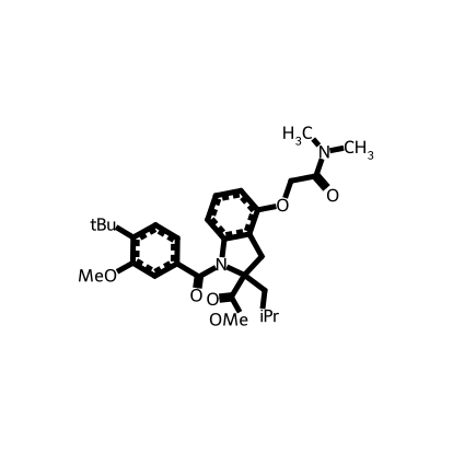 COC(=O)C1(CC(C)C)Cc2c(OCC(=O)N(C)C)cccc2N1C(=O)c1ccc(C(C)(C)C)c(OC)c1